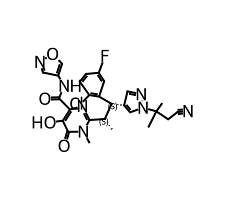 C[C@H](c1nc(C(=O)Nc2cnoc2)c(O)c(=O)n1C)[C@@H](c1cnn(C(C)(C)CC#N)c1)c1cc(F)ccc1Cl